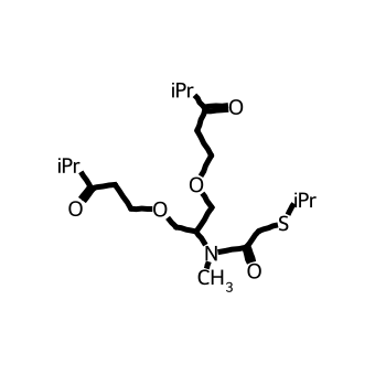 CC(C)SCC(=O)N(C)C(COCCC(=O)C(C)C)COCCC(=O)C(C)C